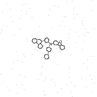 c1ccc(-c2ccc(N(c3cccc(-c4cc5ccccc5c5ccccc45)c3)c3ccc4oc5ccccc5c4c3)cc2)cc1